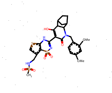 COc1ccc(CN2C(=O)C(C3=NS(=O)(=O)c4c(CNS(C)(=O)=O)csc4N3)=C(O)C3C4CCC(C4)C32)c(OC)c1